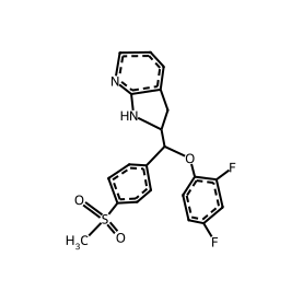 CS(=O)(=O)c1ccc(C(Oc2ccc(F)cc2F)C2Cc3cccnc3N2)cc1